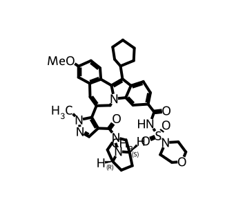 COc1ccc2c(c1)C=C(c1c(C(=O)N3C[C@H]4CC[C@@H](C3)N4C)cnn1C)Cn1c-2c(C2CCCCC2)c2ccc(C(=O)NS(=O)(=O)N3CCOCC3)cc21